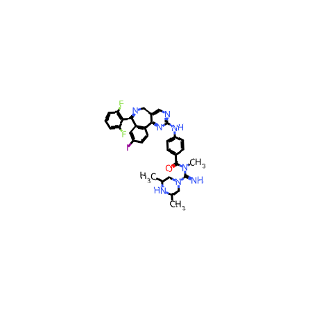 CC1CN(C(=N)N(C)C(=O)c2ccc(Nc3ncc4c(n3)-c3ccc(I)cc3C(c3c(F)cccc3F)=NC4)cc2)CC(C)N1